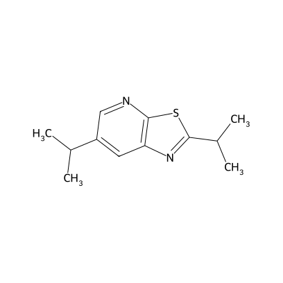 CC(C)c1cnc2sc(C(C)C)nc2c1